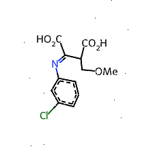 COCC(C(=O)O)C(=Nc1cccc(Cl)c1)C(=O)O